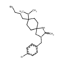 C=C1NC2(CCC(CCCC(C)CC)(N(C)C)CC2)CN1Cc1ccc(CC)cc1